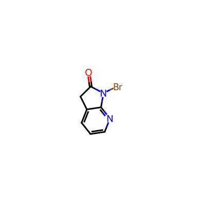 O=C1Cc2cccnc2N1Br